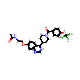 CC(=O)NCCOc1ccc2c(C3CCN(C(=O)c4ccc(OC(F)(F)F)cc4)CC3)ncnc2c1